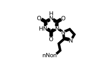 CCCCCCCCCCCC1=NCCN1n1c(=O)[nH]c(=O)[nH]c1=O